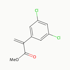 C=C(C(=O)OC)c1cc(Cl)cc(Cl)c1